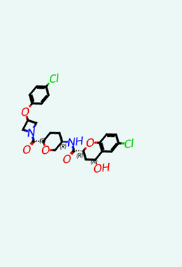 O=C(N[C@@H]1CC[C@@H](C(=O)N2CC(Oc3ccc(Cl)cc3)C2)OC1)[C@H]1C[C@@H](O)c2cc(Cl)ccc2O1